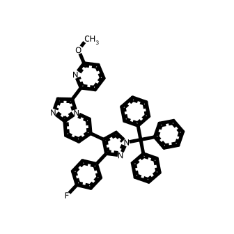 COc1cccc(-c2cnc3ccc(-c4cn(C(c5ccccc5)(c5ccccc5)c5ccccc5)nc4-c4ccc(F)cc4)cn23)n1